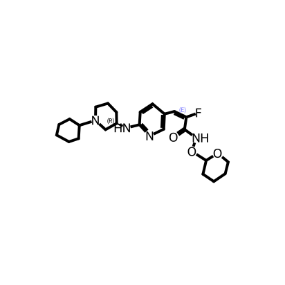 O=C(NOC1CCCCO1)/C(F)=C\c1ccc(N[C@@H]2CCCN(C3CCCCC3)C2)nc1